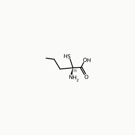 CCC[C@](N)(S)C(=O)O